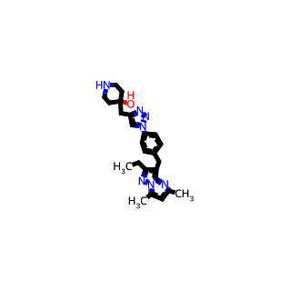 CCc1nn2c(C)cc(C)nc2c1Cc1ccc(-n2cc(CC3(O)CCNCC3)nn2)cc1